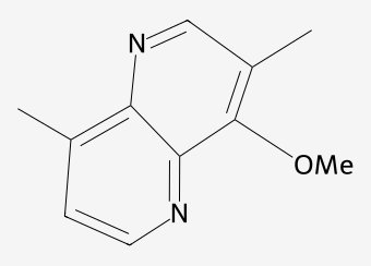 COc1c(C)cnc2c(C)ccnc12